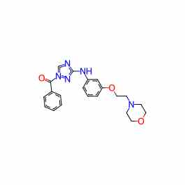 O=C(c1ccccc1)n1cnc(Nc2cccc(OCCN3CCOCC3)c2)n1